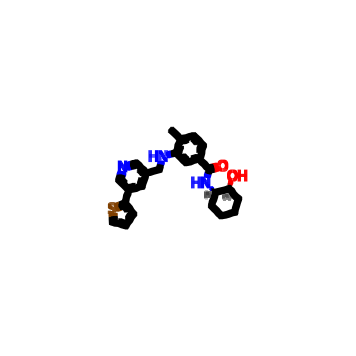 Cc1ccc(C(=O)N[C@H]2CCCC[C@@H]2O)cc1NCc1cncc(-c2cccs2)c1